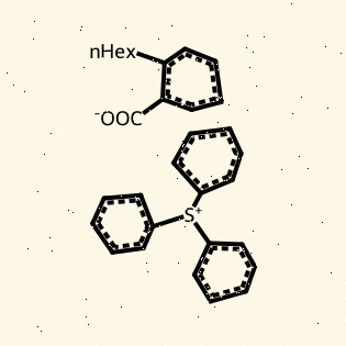 CCCCCCc1ccccc1C(=O)[O-].c1ccc([S+](c2ccccc2)c2ccccc2)cc1